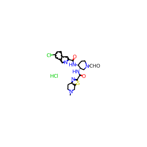 CN1CCc2nc(C(=O)N[C@H]3CN(C=O)CC[C@@H]3NC(=O)c3cc4ccc(Cl)cc4cn3)sc2C1.Cl